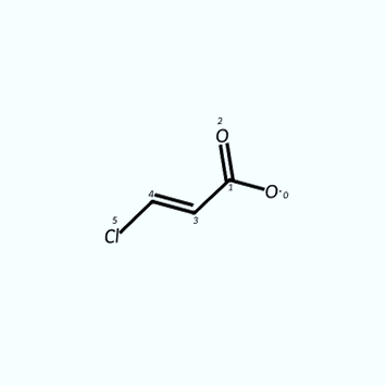 [O]C(=O)C=CCl